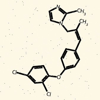 C/C(=C/c1ccc(Oc2ccc(Cl)cc2Cl)cc1)Cn1ccnc1C